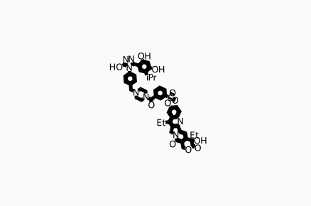 CCc1c2c(nc3ccc(OS(=O)(=O)c4cccc(C(=O)N5CCN(Cc6ccc(-n7c(O)nnc7-c7cc(C(C)C)c(O)cc7O)cc6)CC5)c4)cc13)-c1cc3c(c(=O)n1C2)COC(=O)C3(O)CC